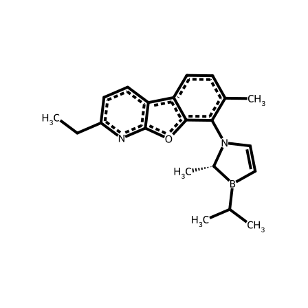 CCc1ccc2c(n1)oc1c(N3C=CB(C(C)C)[C@@H]3C)c(C)ccc12